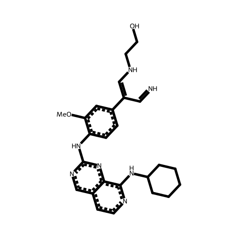 COc1cc(/C(C=N)=C/NCCO)ccc1Nc1ncc2ccnc(NC3CCCCC3)c2n1